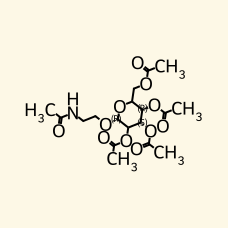 CC(=O)NCCO[C@@H]1OC(COC(C)=O)[C@@H](OC(C)=O)[C@H](OC(C)=O)C1OC(C)=O